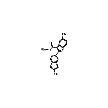 CC(C)(C)OC(=O)n1c(-c2ccn3cc(C#N)nc3c2)cc2ccc(C#N)cc21